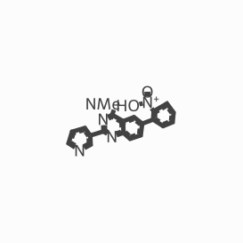 CNc1nc(-c2cccnc2)nc2ccc(-c3ccccc3[N+](=O)O)cc12